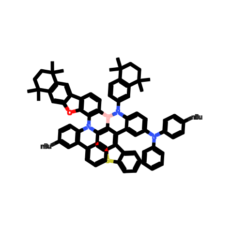 CCCCc1ccc(N(c2ccccc2)c2ccc3c(c2)-c2c4c(cc5sc6ccccc6c25)N(c2ccc(CCCC)cc2-c2ccccc2)c2c(ccc5c2oc2cc6c(cc25)C(C)(C)CCC6(C)C)B4N3c2ccc3c(c2)C(C)(C)CCC3(C)C)cc1